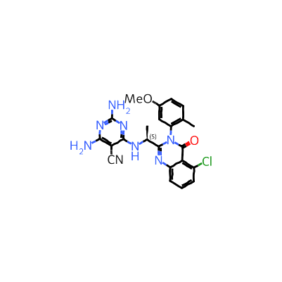 COc1ccc(C)c(-n2c([C@H](C)Nc3nc(N)nc(N)c3C#N)nc3cccc(Cl)c3c2=O)c1